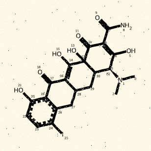 CN(C)[C@@H]1C(O)=C(C(N)=O)C(=O)C2(O)C(O)=C3C(=O)c4c(O)ccc(I)c4CC3CC12